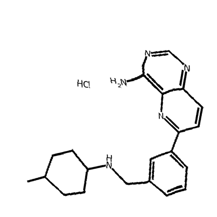 CC1CCC(NCc2cccc(-c3ccc4ncnc(N)c4n3)c2)CC1.Cl